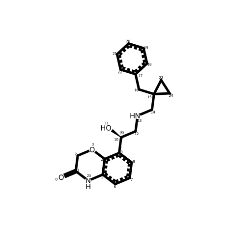 O=C1COc2c(cccc2[C@@H](O)CNCC2(Cc3ccccc3)CC2)N1